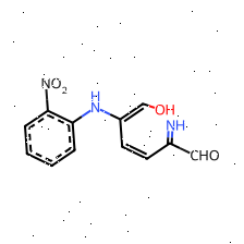 N=C(C=O)/C=C\C(=C/O)Nc1ccccc1[N+](=O)[O-]